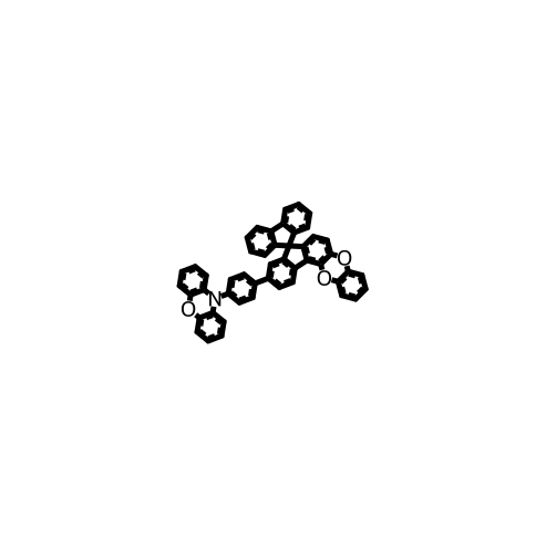 c1ccc2c(c1)Oc1ccc3c(c1O2)-c1ccc(-c2ccc(N4c5ccccc5Oc5ccccc54)cc2)cc1C31c2ccccc2-c2ccccc21